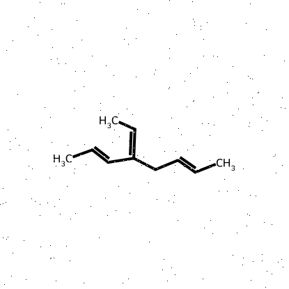 CC=CCC(C=CC)=CC